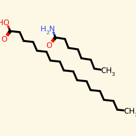 CCCCCCCC(N)=O.CCCCCCCCCCCCCCCCCC(=O)O